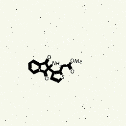 COC(=O)Cc1sccc1C1(N)C(=O)c2ccccc2C1=O